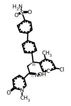 Cc1cc(Cl)ccc1[C@@H](C/C(=N\O)c1ccc(=O)n(C)c1)c1ccc(-c2ccc(S(N)(=O)=O)cc2)cc1